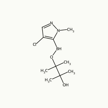 Cn1ncc(Cl)c1BOC(C)(C)C(C)(C)O